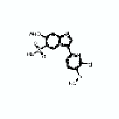 COc1cc2ncc(-c3ccc(OC(F)(F)F)c(Cl)n3)n2cc1S(=O)(=O)C(C)(C)C